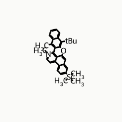 Cc1c2c(c(C(C)(C)C)c3ccccc13)Oc1cc3cc([Si](C)(C)C)ccc3c3cc[n+](C)c-2c13